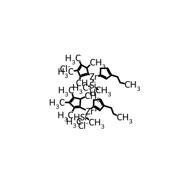 CCCC1=CC[C]([Zr+]([C]2=C(C)C(C)=C(C)C2C)[SiH](C)C)=C1.CCCC1=CC[C]([Zr+]([C]2=C(C)C(C)=C(C)C2C)[SiH](C)C)=C1.[Cl-].[Cl-]